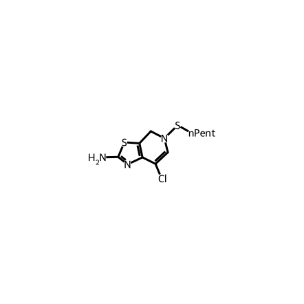 CCCCCSN1C=C(Cl)c2nc(N)sc2C1